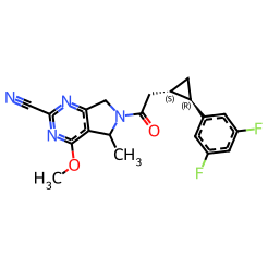 COc1nc(C#N)nc2c1C(C)N(C(=O)C[C@@H]1C[C@H]1c1cc(F)cc(F)c1)C2